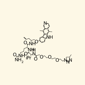 C=CCC(COc1ccc2[nH]c3c(C)c4ccncc4c(C)c3c2c1)NC(=O)C(CCCNC(N)=O)NC(=O)C(NC(=O)COCCOCCOCCN1CC(C)N=N1)C(C)C